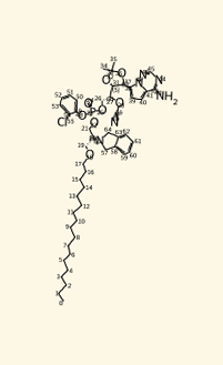 CCCCCCCCCCCCCCCCCCOC[C@H](COP(=O)(OC[C@@H](OC#N)[C@H]1OC(C)(C)O[C@H]1c1ccc2c(N)ncnn12)Oc1ccccc1Cl)N1Cc2ccccc2C1